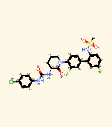 CS(=O)(=O)Nc1ccc(F)cc1-c1ccc(N2CCC[C@@H](NC(=O)Nc3ccc(Cl)cc3)C2=O)c(F)c1